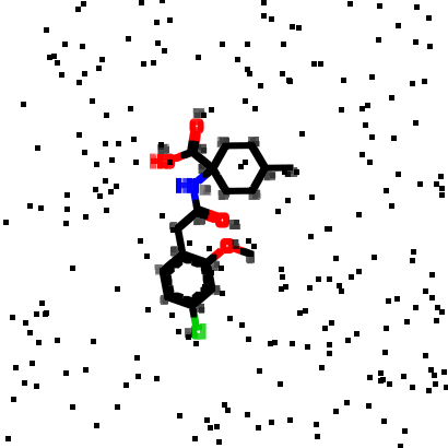 COc1cc(Cl)ccc1CC(=O)NC1(C(=O)O)CCC(C)CC1